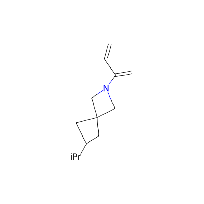 C=CC(=C)N1CC2(CC(C(C)C)C2)C1